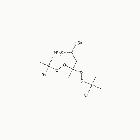 CCCCC(CC(C)(OOC(C)(C)CC)OOC(C)(C)CC)C(=O)O